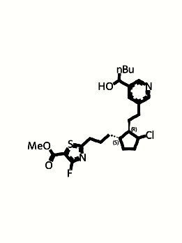 CCCCC(O)c1cncc(CC[C@H]2C(Cl)CC[C@@H]2CCCc2nc(F)c(C(=O)OC)s2)c1